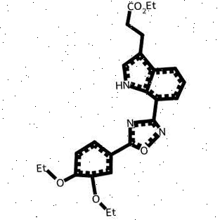 CCOC(=O)CCc1c[nH]c2c(-c3noc(-c4ccc(OCC)c(OCC)c4)n3)cccc12